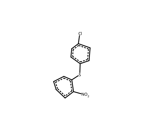 O=[N+]([O-])c1c[c]ccc1Sc1ccc(Cl)cc1